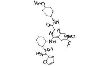 COC1CCC(NC(=O)c2nc(N[C@H]3CCCC[C@H]3NC(=N)c3ccco3)c3cc(F)ccc3n2)CC1.Cl.Cl